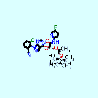 CC(C)[Si](OC[C@@H](C)OC[C@H](Oc1ncnc2c1cnn2-c1c(Cl)cccc1C#N)C(=O)Nc1ccc(F)cn1)(C(C)C)C(C)C